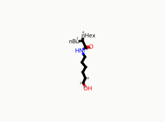 CCCCCCC(CCCC)C(=O)NCCCCCCO